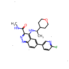 CNC(=O)c1nnc2ccc(-c3ccc(F)nc3)cc2c1NC(C)C1CCOCC1